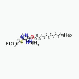 CCCCCC/C=C/CCCCCCCCCCOc1c2ncnc(SCC(=O)OCC)c2nn1C